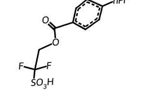 CCCc1ccc(C(=O)OCC(F)(F)S(=O)(=O)O)cc1